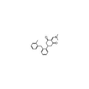 Cc1ccccc1Cc1ccccc1C1CC(=O)C(=CN(C)C)C(=O)C1